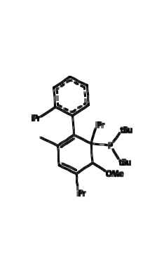 COC1C(C(C)C)=CC(C)=C(c2ccccc2C(C)C)C1(C(C)C)P(C(C)(C)C)C(C)(C)C